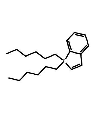 CCCCCC[P]1(CCCCCC)C=Cc2ccccc21